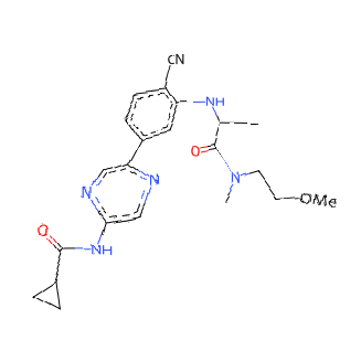 COCCN(C)C(=O)C(C)Nc1cc(-c2cnc(NC(=O)C3CC3)cn2)ccc1C#N